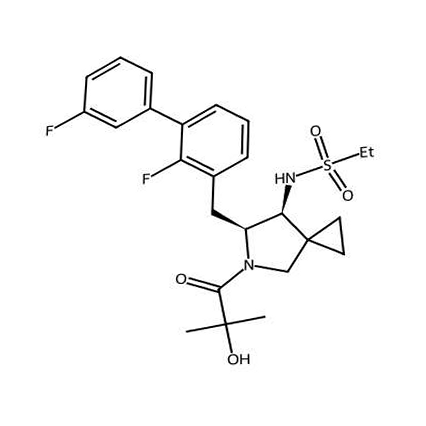 CCS(=O)(=O)N[C@@H]1[C@H](Cc2cccc(-c3cccc(F)c3)c2F)N(C(=O)C(C)(C)O)CC12CC2